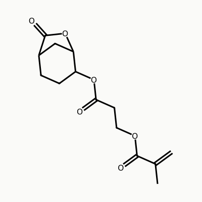 C=C(C)C(=O)OCCC(=O)OC1CCC2CC1OC2=O